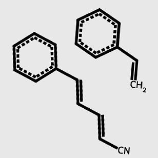 C=Cc1ccccc1.N#CC=CC=Cc1ccccc1